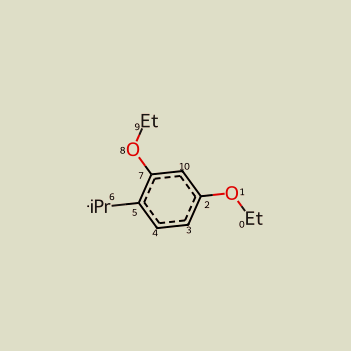 CCOc1ccc([C](C)C)c(OCC)c1